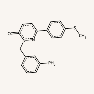 CSc1ccc(-c2ccc(=O)n(Cc3cccc(P)c3)n2)cc1